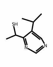 CC(C)c1cncnc1C(C)S